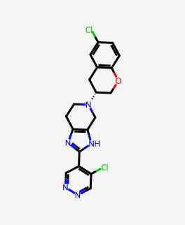 Clc1ccc2c(c1)C[C@@H](N1CCc3nc(-c4cnncc4Cl)[nH]c3C1)CO2